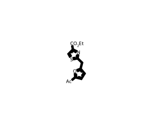 CCOC(=O)c1csc(Cc2ccc(C(C)=O)o2)n1